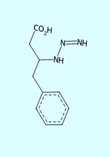 N=NNC(CC(=O)O)Cc1ccccc1